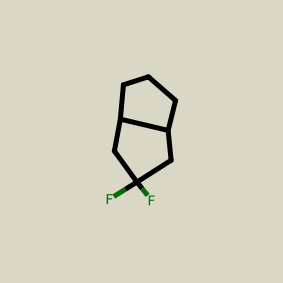 FC1(F)CC2CCCC2C1